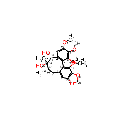 COc1cc2c(c(OC)c1OC)-c1c(cc3c(c1OC)OCO3)C[C@H](C)[C@](C)(O)[C@@H]2O